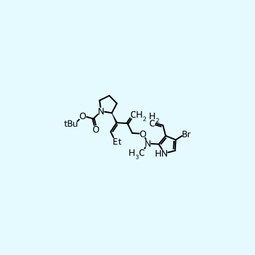 C=Cc1c(Br)c[nH]c1N(C)OCC(=C)/C(=C\CC)[C@@H]1CCCN1C(=O)OC(C)(C)C